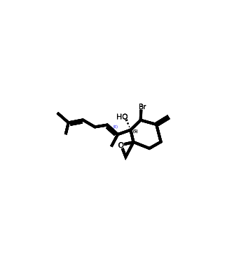 C=C1CCC2(CO2)[C@@](O)(/C(C)=C/CC=C(C)C)C1Br